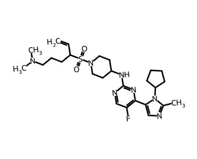 C=CC(CCCN(C)C)S(=O)(=O)N1CCC(Nc2ncc(F)c(-c3cnc(C)n3C3CCCC3)n2)CC1